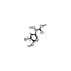 COC(=O)N(O)c1cnc(OC)c(Br)c1